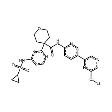 CCOc1cncc(-c2ccc(NC(=O)C3(c4nccc(NS(=O)(=O)C5CC5)n4)CCOCC3)nc2)n1